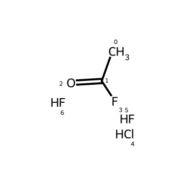 CC(=O)F.Cl.F.F